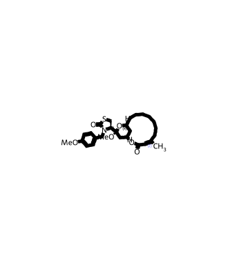 COc1ccc(CN2C(=O)SC[C@H]2[C@@]2(OC)C[C@H]3C[C@@H](CCCCCCC/C(C)=C\C(=O)O3)O2)cc1